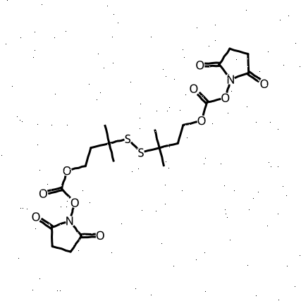 CC(C)(CCOC(=O)ON1C(=O)CCC1=O)SSC(C)(C)CCOC(=O)ON1C(=O)CCC1=O